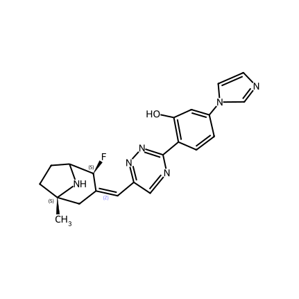 C[C@@]12CCC(N1)[C@@H](F)/C(=C\c1cnc(-c3ccc(-n4ccnc4)cc3O)nn1)C2